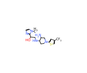 Cn1ccnc1C(O)CNC1CCN(c2cc(C(F)(F)F)cs2)CC1N